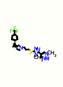 CN/C=C(\C=N)c1nnc(SCCCN2CC[C@@]3(C[C@H]3c3ccc(C(F)(F)F)cc3)C2)n1C